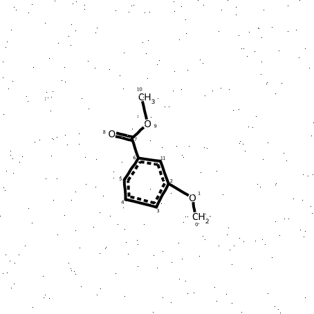 [CH2]Oc1cccc(C(=O)OC)c1